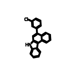 Clc1cccc(-c2cc3[nH]c4ccccc4c3c3ccccc23)c1